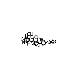 COc1cc(-c2[nH]c3cnc(C4CCC(N5CC6(COC6)C5)CC4)c(C)c3c2C(C)C)cn2ncnc12